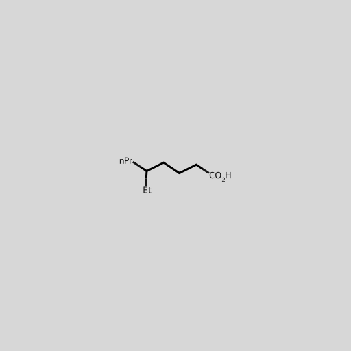 CCCC(CC)CCCC(=O)O